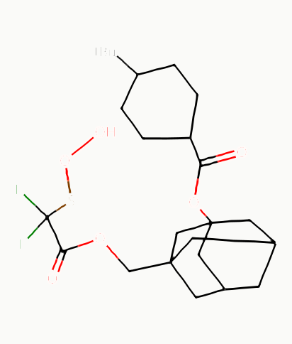 CC(C)(C)C1CCC(C(=O)OC23CC4CC(CC(COC(=O)C(F)(F)SOO)(C4)C2)C3)CC1